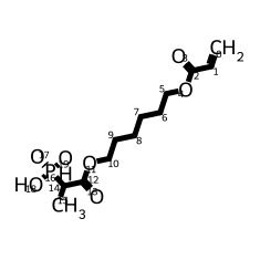 C=CC(=O)OCCCCCCOC(=O)C(C)P(=O)(O)O